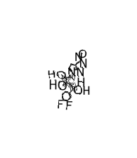 CON=c1nc[nH]c2c1ccn2[C@@H]1C[C@H]([C@H](O)c2ccc(F)c(F)c2)[C@@H](O)[C@H]1O